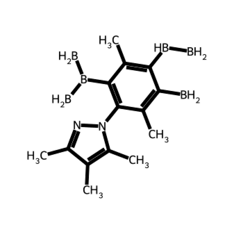 BBc1c(B)c(C)c(-n2nc(C)c(C)c2C)c(B(B)B)c1C